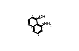 Nc1cccc2cccc(O)c12